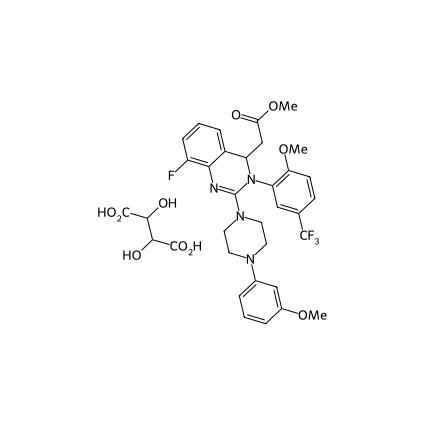 COC(=O)CC1c2cccc(F)c2N=C(N2CCN(c3cccc(OC)c3)CC2)N1c1cc(C(F)(F)F)ccc1OC.O=C(O)C(O)C(O)C(=O)O